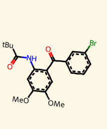 COc1cc(NC(=O)C(C)(C)C)c(C(=O)c2cccc(Br)c2)cc1OC